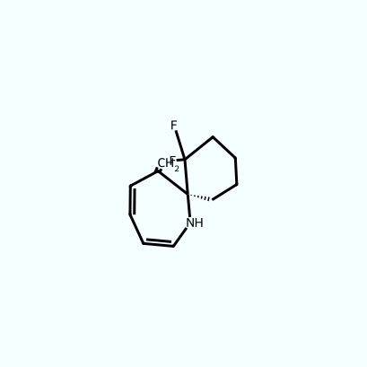 C=C1C=CC=CN[C@@]12CCCCC2(F)F